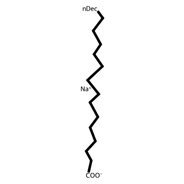 CCCCCCCCCCCCCCCCCCCCCCCC(=O)[O-].[Na+]